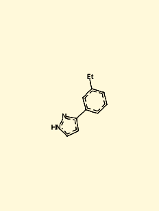 CCc1cccc(-c2cc[nH]n2)c1